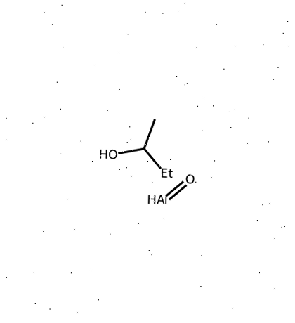 CCC(C)O.[O]=[AlH]